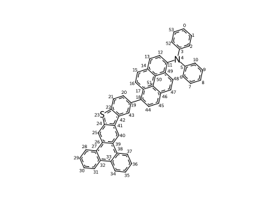 c1ccc(N(c2ccccc2)c2ccc3ccc4c(-c5ccc6sc7cc8c9ccccc9c9ccccc9c8cc7c6c5)ccc5ccc2c3c54)cc1